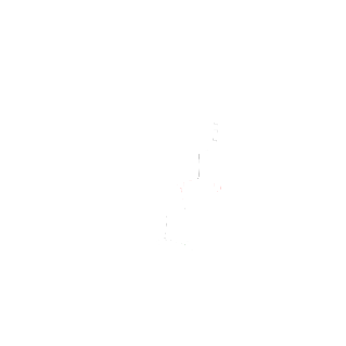 C=CCC(=O)OC=CC(=C)Cl